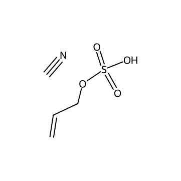 C#N.C=CCOS(=O)(=O)O